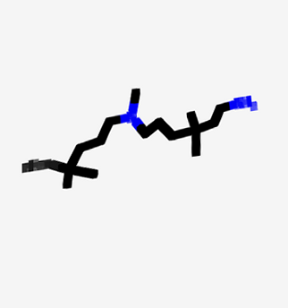 CCCCCCC(C)(C)CCCN(C)CCCC(C)(C)CCN